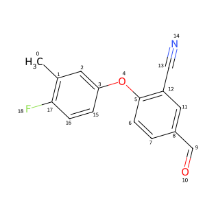 Cc1cc(Oc2ccc(C=O)cc2C#N)ccc1F